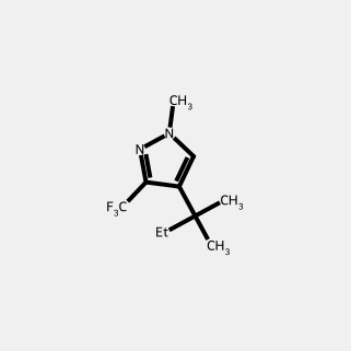 CCC(C)(C)c1cn(C)nc1C(F)(F)F